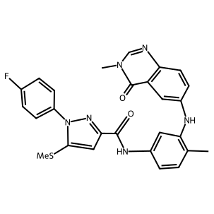 CSc1cc(C(=O)Nc2ccc(C)c(Nc3ccc4ncn(C)c(=O)c4c3)c2)nn1-c1ccc(F)cc1